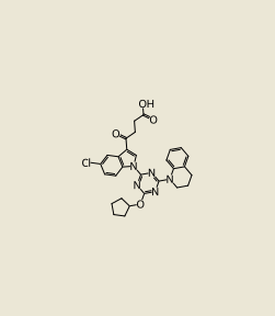 O=C(O)CCC(=O)c1cn(-c2nc(OC3CCCC3)nc(N3CCCc4ccccc43)n2)c2ccc(Cl)cc12